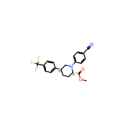 COC(=O)[C@@H]1CC[C@@H](c2ccc(C(F)(F)F)cc2)CN1c1ccc(C#N)cc1